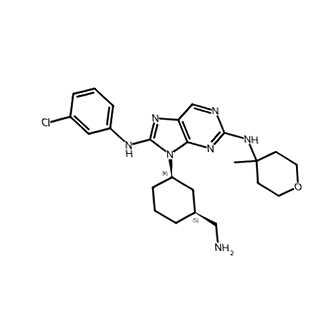 CC1(Nc2ncc3nc(Nc4cccc(Cl)c4)n([C@@H]4CCC[C@H](CN)C4)c3n2)CCOCC1